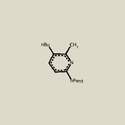 CCCCCc1ccc(CCCC)c(C)n1